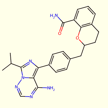 CC(C)c1nc(-c2ccc(CC3CCc4cccc(C(N)=O)c4O3)cc2)c2c(N)ncnn12